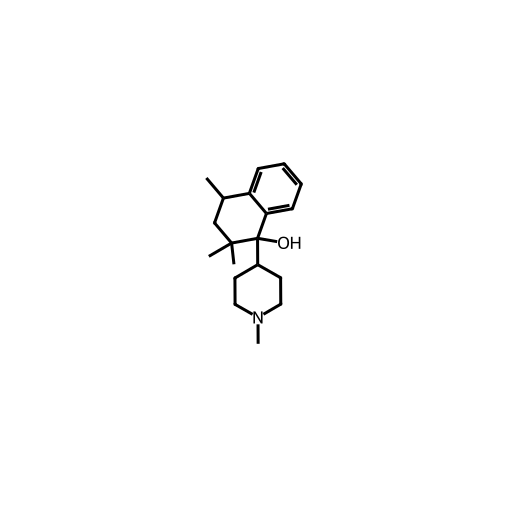 CC1CC(C)(C)C(O)(C2CCN(C)CC2)c2ccccc21